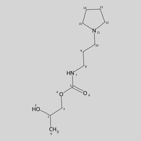 CC(O)COC(=O)NCCCN1CCCC1